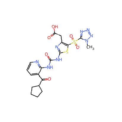 Cn1nnnc1S(=O)(=O)c1sc(NC(=O)Nc2ncccc2C(=O)C2CCCC2)nc1CC(=O)O